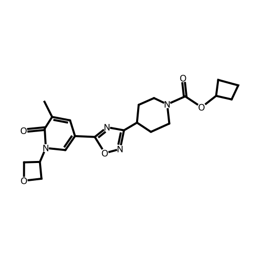 Cc1cc(-c2nc(C3CCN(C(=O)OC4CCC4)CC3)no2)cn(C2COC2)c1=O